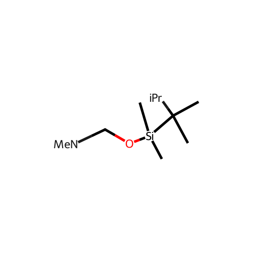 CNCO[Si](C)(C)C(C)(C)C(C)C